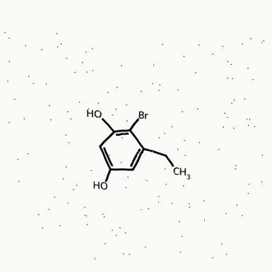 CCc1cc(O)cc(O)c1Br